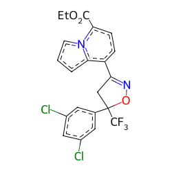 CCOC(=O)c1ccc(C2=NOC(c3cc(Cl)cc(Cl)c3)(C(F)(F)F)C2)c2cccn12